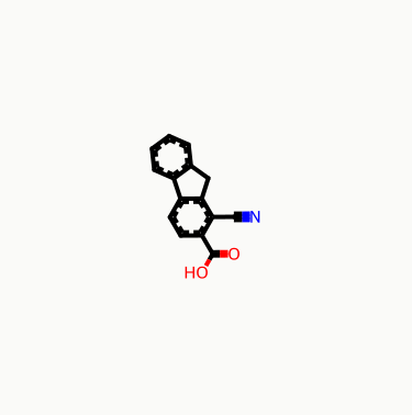 N#Cc1c(C(=O)O)ccc2c1Cc1ccccc1-2